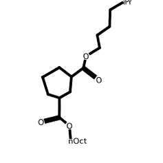 CCCCCCCCOC(=O)C1CCCC(C(=O)OCCCCC(C)C)C1